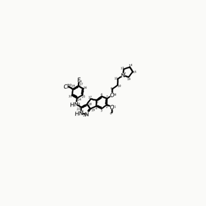 COc1cc2c(cc1OCCCN1CCCC1)Cc1c-2n[nH]c1Nc1ccc(F)c(Cl)c1